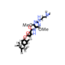 COc1nc(NCCCN(C)C)nc(OC)c1NC(=O)c1ccc(Oc2cc3c(cc2C)[Si](C)(C)C(C)C[Si]3(C)C)o1